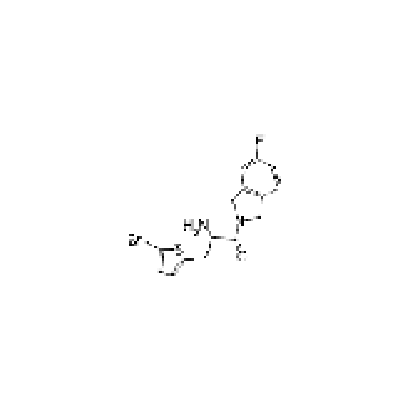 NC(Cc1ccc(Br)s1)C(=O)N1Cc2ccc(F)cc2C1